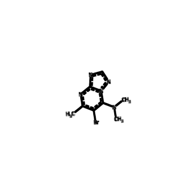 Cc1nc2ncnn2c(N(C)C)c1Br